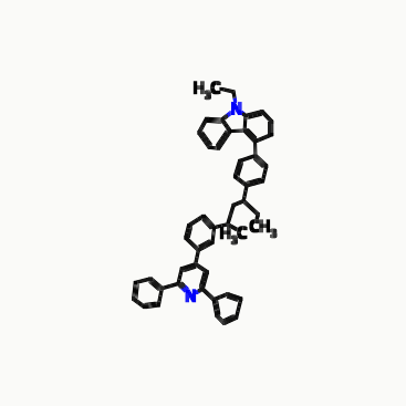 CCC(CC(C)c1cccc(-c2cc(-c3ccccc3)nc(-c3ccccc3)c2)c1)c1ccc(-c2cccc3c2c2ccccc2n3CC)cc1